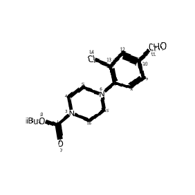 CC(C)COC(=O)N1CCN(c2ccc(C=O)cc2Cl)CC1